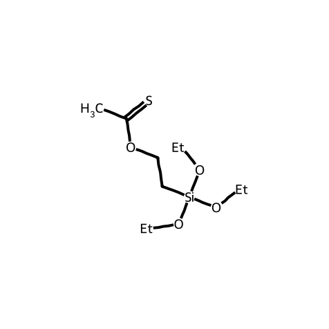 CCO[Si](CCOC(C)=S)(OCC)OCC